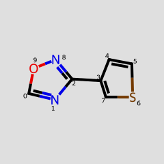 c1nc(-c2ccsc2)no1